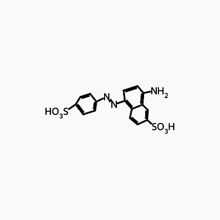 Nc1ccc(N=Nc2ccc(S(=O)(=O)O)cc2)c2ccc(S(=O)(=O)O)cc12